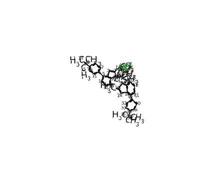 CCC1=Cc2c(-c3ccc(C(C)(C)C)cc3)cccc2[CH]1[Zr]([CH3])([CH3])(=[SiH2])[CH]1C(C)=Cc2c(-c3ccc(C(C)(C)C)cc3)cccc21.Cl.Cl